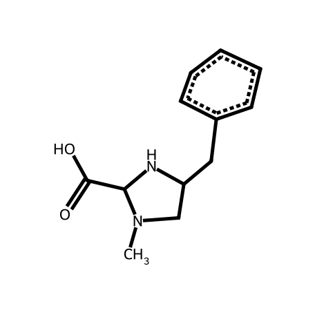 CN1CC(Cc2ccccc2)NC1C(=O)O